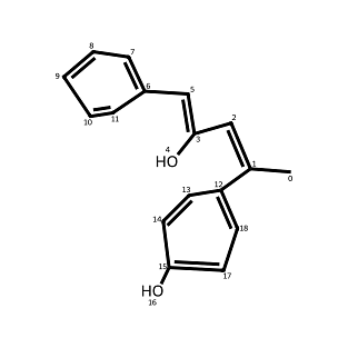 CC(=CC(O)=Cc1ccccc1)c1ccc(O)cc1